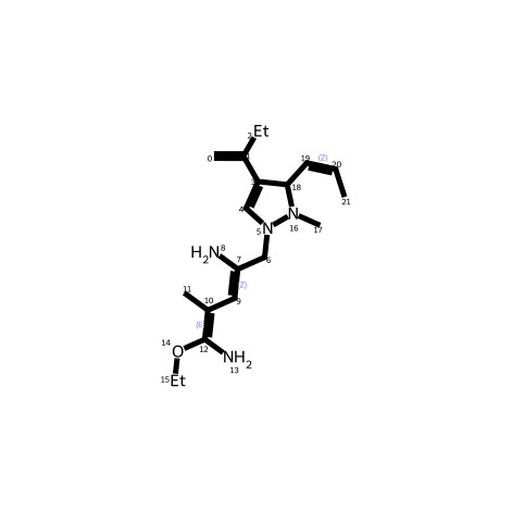 C=C(CC)C1=CN(C/C(N)=C/C(C)=C(\N)OCC)N(C)C1/C=C\C